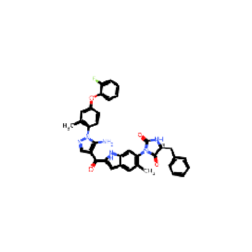 Cc1cc2cc(C(=O)c3cnn(-c4ccc(Oc5ccccc5F)cc4C)c3N)[nH]c2cc1N1C(=O)N[C@@H](Cc2ccccc2)C1=O